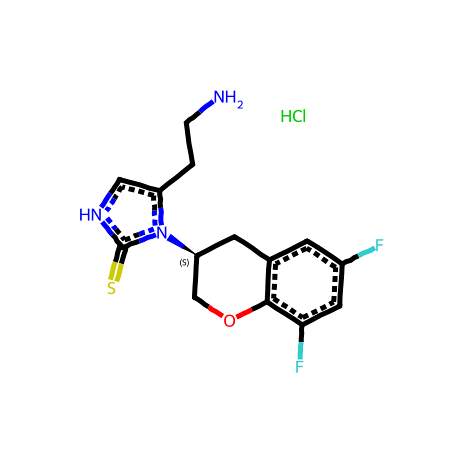 Cl.NCCc1c[nH]c(=S)n1[C@@H]1COc2c(F)cc(F)cc2C1